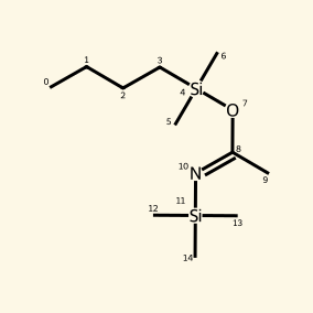 CCCC[Si](C)(C)OC(C)=N[Si](C)(C)C